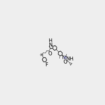 C/C(=N\c1ccc(-c2ccc3[nH]cc(C(=O)CCC[C@@H](C)c4ccc(F)cc4)c3c2)cc1C)NC(=O)C1CC1